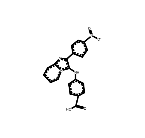 O=C(O)c1ccc(Nc2c(-c3ccc([N+](=O)[O-])cc3)nc3ccccn23)cc1